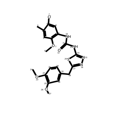 COc1cc(C)c(Cl)cc1NC(=O)Nc1nnc(Cc2ccc(OC)c(OC)c2)s1